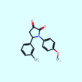 O=C1CC(c2cccc(C(F)(F)F)c2)N(c2ccc(OC(F)(F)F)cc2)C1=O